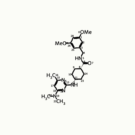 COc1cc(CNC(=O)[C@H]2CC[C@@H](Nc3nc(C)cc(N(C)C)n3)CC2)cc(OC)c1